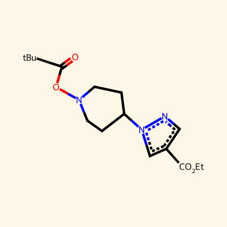 CCOC(=O)c1cnn(C2CCN(OC(=O)C(C)(C)C)CC2)c1